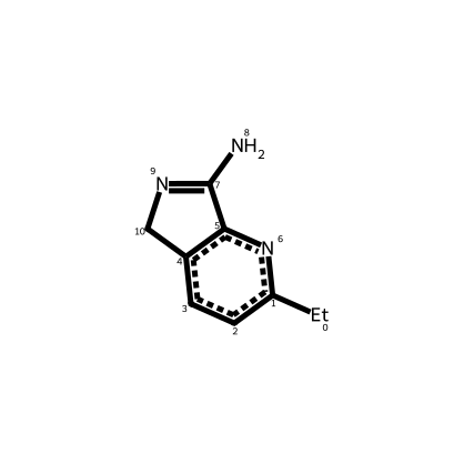 CCc1ccc2c(n1)C(N)=NC2